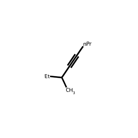 CCCC#C[C](C)CC